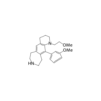 COCCN1CCCc2cc3c(c(-c4cccc(OC)c4)c21)CCNCC3